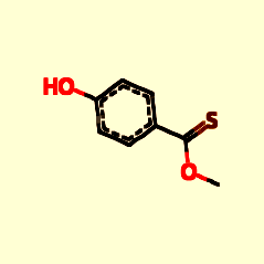 COC(=S)c1ccc(O)cc1